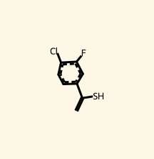 C=C(S)c1ccc(Cl)c(F)c1